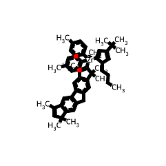 [CH2]=[Zr]([C]1=CC(C(C)(C)C)=CC1CCCC)([C]1=C(C)c2cc3c(cc2C1(C)C)Cc1cc2c(cc1-3)C(C)=CC2(C)C)([c]1ccc(C)cc1)[c]1ccc(C)cc1